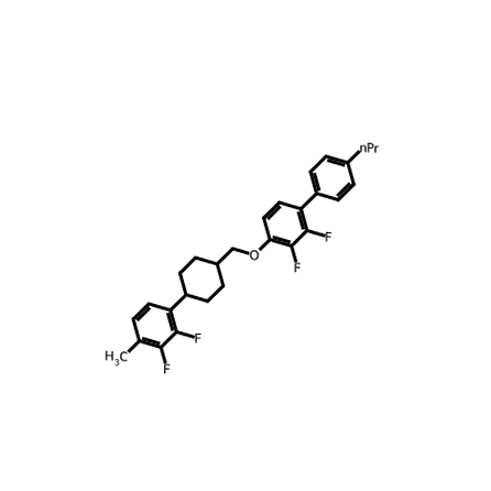 CCCc1ccc(-c2ccc(OCC3CCC(c4ccc(C)c(F)c4F)CC3)c(F)c2F)cc1